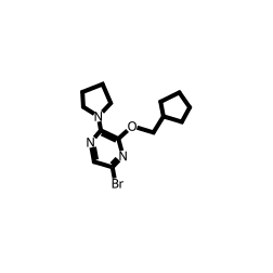 Brc1cnc(N2CCCC2)c(OCC2CCCC2)n1